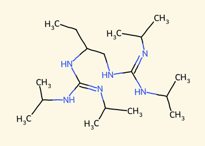 CCC(CNC(=NC(C)C)NC(C)C)NC(=NC(C)C)NC(C)C